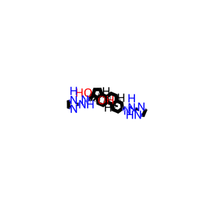 C[C@]12CC/C(=N/NC3=NCCN3)C[C@H]1CC[C@@H]1[C@@H]2CC[C@]2(C)[C@@](O)(/C=N/NC3=NCCN3)CC[C@]12O